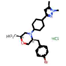 Cc1cc(C2CCC(N3C[C@H](C(=O)O)OC[C@@H]3Cc3ccc(Br)cc3)CC2)nn1C.Cl